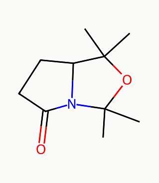 CC1(C)OC(C)(C)N2C(=O)CCC21